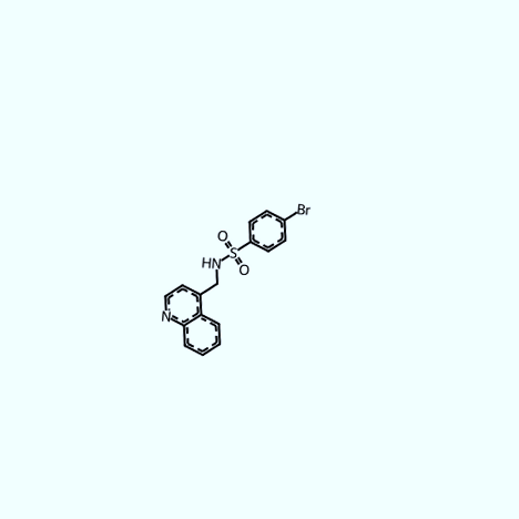 O=S(=O)(NCc1ccnc2ccccc12)c1ccc(Br)cc1